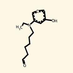 CCN(CCCCCC=O)c1cccc(O)c1